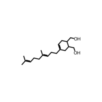 CC(C)=CCC/C(C)=C/CCC1=CCC(CO)C(CO)C1